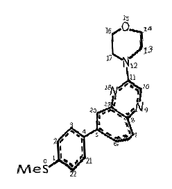 CSc1ccc(-c2ccc3ncc(N4CCOCC4)nc3c2)cc1